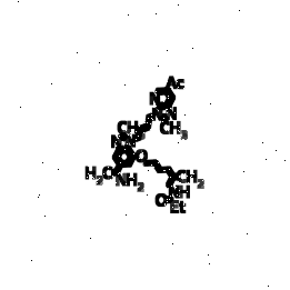 C=C(CCCCOc1cc(C(=C)N)cc2nc(C)n(C/C=C/Cn3c(C)nc4cc(C(C)=O)cnc43)c12)CNC(=O)CC